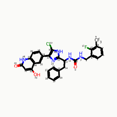 O=C(NCc1cccc(C(F)(F)F)c1F)NC(Cc1ccccc1)c1nc(-c2ccc3[nH]c(=O)cc(O)c3c2)c(Cl)[nH]1